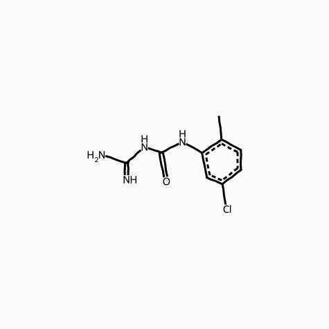 Cc1ccc(Cl)cc1NC(=O)NC(=N)N